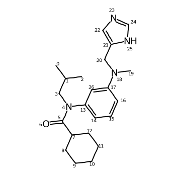 CC(C)CN(C(=O)C1CCCCC1)c1cccc(N(C)Cc2cnc[nH]2)c1